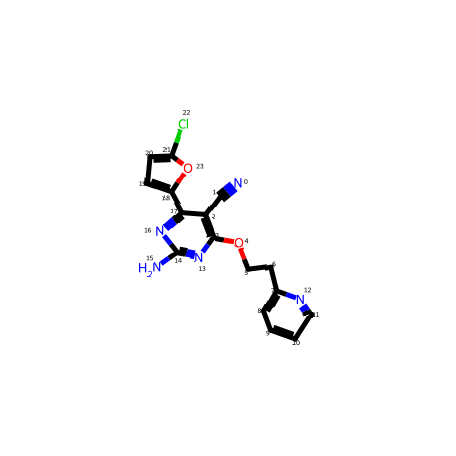 N#Cc1c(OCCc2ccccn2)nc(N)nc1-c1ccc(Cl)o1